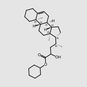 C[C@H](CC(O)C(=O)OC1CCCCC1)[C@H]1CC[C@H]2[C@@H]3CC=C4CCCC[C@]4(C)[C@H]3CC[C@]12C